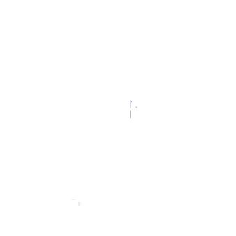 CCc1cccc([S+]([O-])Nc2ccccc2)c1